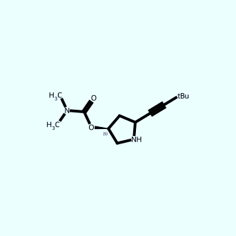 CN(C)C(=O)O[C@@H]1CNC(C#CC(C)(C)C)C1